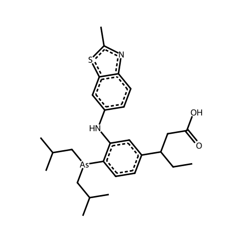 CCC(CC(=O)O)c1ccc([As](CC(C)C)CC(C)C)c(Nc2ccc3nc(C)sc3c2)c1